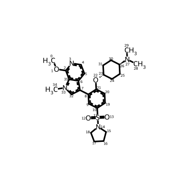 COc1nccc2c(-c3cc(S(=O)(=O)N4CCCC4)ccc3O[C@H]3CC[C@H](N(C)C)CC3)cn(C)c12